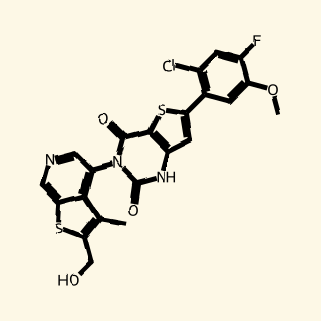 COc1cc(-c2cc3[nH]c(=O)n(-c4cncc5sc(CO)c(C)c45)c(=O)c3s2)c(Cl)cc1F